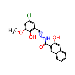 COc1cc(Cl)cc(/C=N/NC(=O)c2cc3ccccc3cc2O)c1O